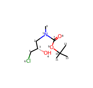 CN(C[C@H](O)CCl)C(=O)OC(C)(C)C